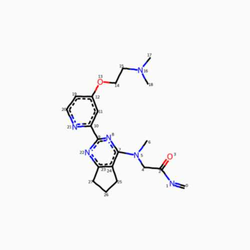 C=NC(=O)CN(C)c1nc(-c2cc(OCCN(C)C)ccn2)nc2c1CCC2